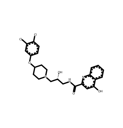 O=C(NC[C@@H](O)CN1CCC(Oc2ccc(Cl)c(Cl)c2)CC1)c1cc(O)c2ccccc2n1